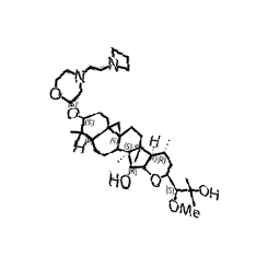 CO[C@@H](C1C[C@@H](C)[C@H]2C(O1)[C@H](O)[C@@]1(C)C3CC[C@H]4C(C)(C)[C@@H](O[C@H]5CN(CCN6CCC6)CCO5)CCC45C[C@@]35CC[C@]21C)C(C)(C)O